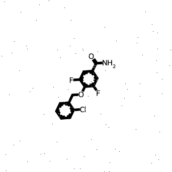 NC(=O)c1cc(F)c(OCc2ccccc2Cl)c(F)c1